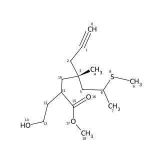 C#CC[C@](C)(CC(C)SC)CC(CCO)C(=O)OC